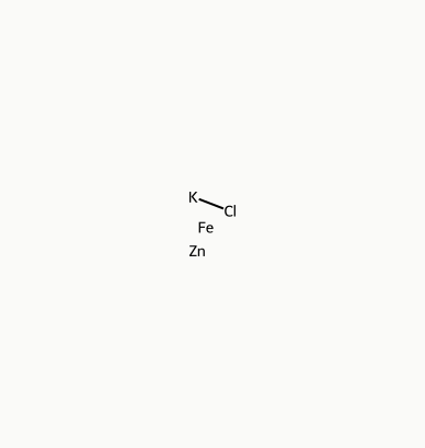 [Cl][K].[Fe].[Zn]